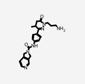 CC1CC(=O)N(CCCN)N=C1c1ccc(NC(=O)N2Cc3ccncc3C2)cc1